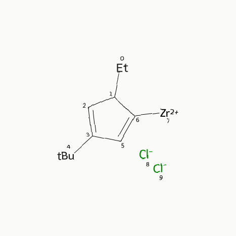 CCC1C=C(C(C)(C)C)C=[C]1[Zr+2].[Cl-].[Cl-]